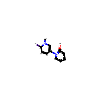 CN1C=C(n2ccccc2=O)C=CC1I